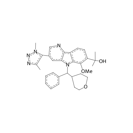 COc1c(C(C)(C)O)ccc2c3ncc(-c4c(C)nnn4C)cc3n(C(c3ccccc3)C3CCOCC3)c12